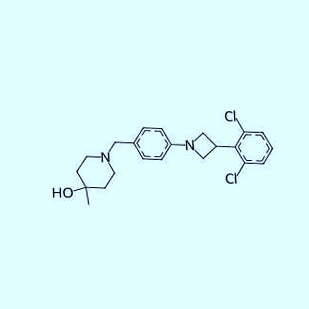 CC1(O)CCN(Cc2ccc(N3CC(c4c(Cl)cccc4Cl)C3)cc2)CC1